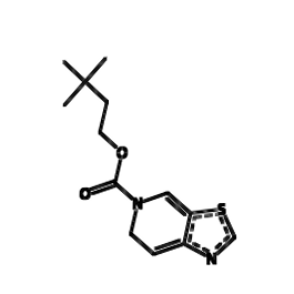 CC(C)(C)CCOC(=O)N1C=c2scnc2=CC1